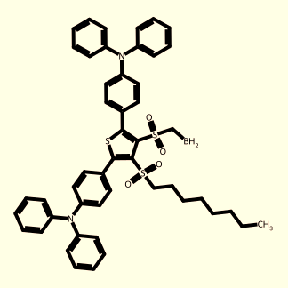 BCS(=O)(=O)c1c(-c2ccc(N(c3ccccc3)c3ccccc3)cc2)sc(-c2ccc(N(c3ccccc3)c3ccccc3)cc2)c1S(=O)(=O)CCCCCCCC